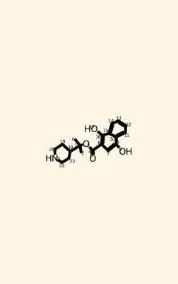 CC(C)(OC(=O)c1cc(O)c2ccccc2c1O)C1CCNCC1